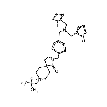 CC(C)(C)CN1CCC2(CC1)CCN(Cc1ccc(CN(Cc3ncc[nH]3)Cc3ncc[nH]3)cc1)C2=O